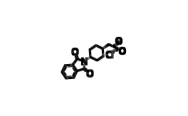 O=C1c2ccccc2C(=O)N1[C@H]1CC[C@H](CS(=O)(=O)Cl)CC1